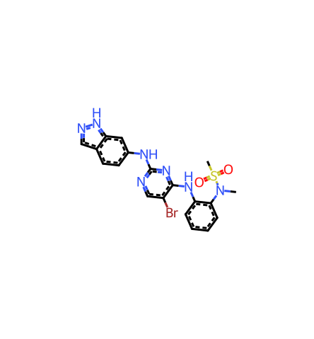 CN(c1ccccc1Nc1nc(Nc2ccc3cn[nH]c3c2)ncc1Br)S(C)(=O)=O